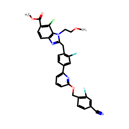 COCCn1c(Cc2ccc(-c3cccc(OCc4ccc(C#N)cc4F)n3)cc2F)nc2ccc(C(=O)OC)c(Cl)c21